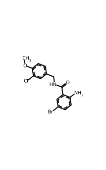 COc1ccc(CNC(=O)c2cc(Br)ccc2N)cc1Cl